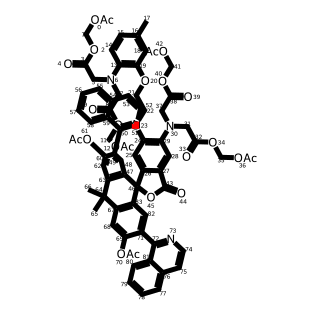 CC(=O)OCOC(=O)CN(CC(=O)OCOC(C)=O)c1ccc(C)cc1OCCOc1cc2c(cc1N(CC(=O)OCOC(C)=O)CC(=O)OCOC(C)=O)C(=O)OC21c2cc(-c3nccc4ccccc34)c(OC(C)=O)cc2C(C)(C)c2cc(OC(C)=O)c(-c3nccc4ccccc34)cc21